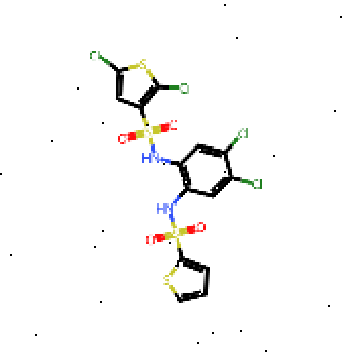 O=S(=O)(Nc1cc(Cl)c(Cl)cc1NS(=O)(=O)c1cc(Cl)sc1Cl)c1cccs1